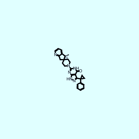 C[C@@H]1c2cccnc2CC12CCN(c1nc3[nH]nc(C4(c5ccccc5)CC4)c3c(=O)[nH]1)CC2